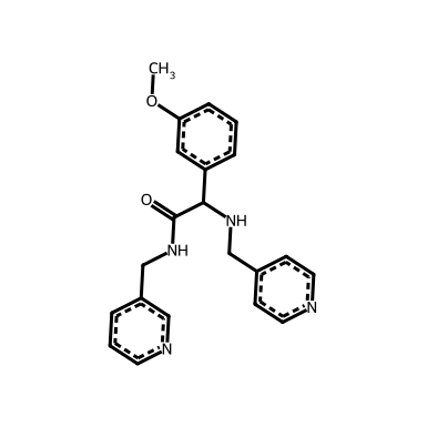 COc1cccc(C(NCc2ccncc2)C(=O)NCc2cccnc2)c1